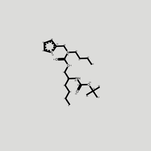 CCCCC(COC(=O)N(CCCC)Cc1cccs1)NC(=O)OC(C)(C)C